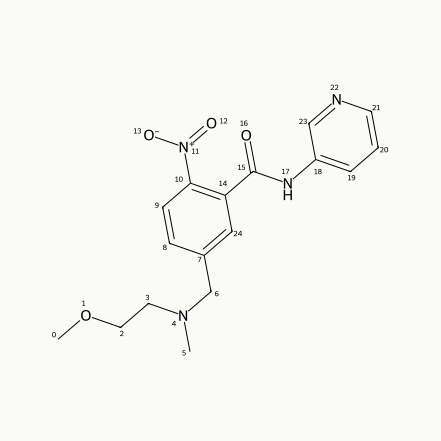 COCCN(C)Cc1ccc([N+](=O)[O-])c(C(=O)Nc2cccnc2)c1